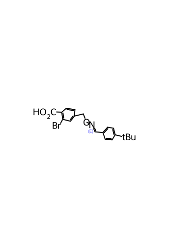 CC(C)(C)c1ccc(/C=N/OCc2ccc(C(=O)O)c(Br)c2)cc1